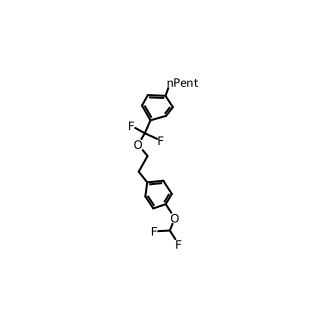 CCCCCc1ccc(C(F)(F)OCCc2ccc(OC(F)F)cc2)cc1